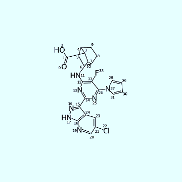 O=C(O)C1C2CCC(CC2)C1Nc1nc(-c2n[nH]c3ncc(Cl)cc23)nc(-n2cccc2)c1F